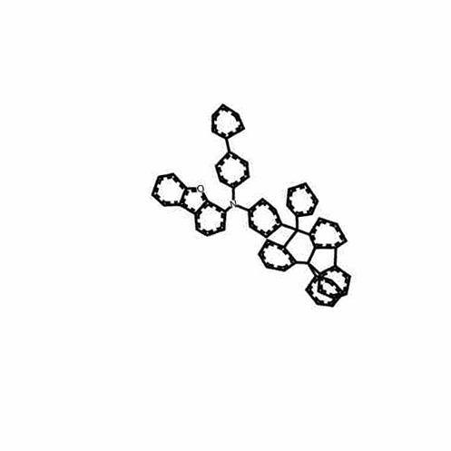 c1ccc(-c2ccc(N(c3ccc(C4(c5ccccc5)c5ccccc5C5(c6ccccc6)c6ccccc6-c6cccc4c65)cc3)c3cccc4c3oc3ccccc34)cc2)cc1